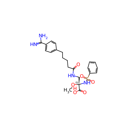 CO[C@](CNC(=O)CCCCc1ccc(C(=N)N)cc1)(NS(=O)(=O)c1ccccc1)C(=O)O